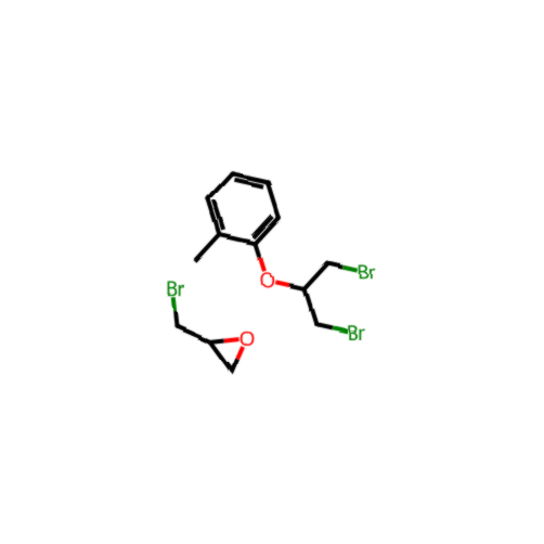 BrCC1CO1.Cc1ccccc1OC(CBr)CBr